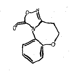 O=c1onc2n1-c1ccccc1OCC2